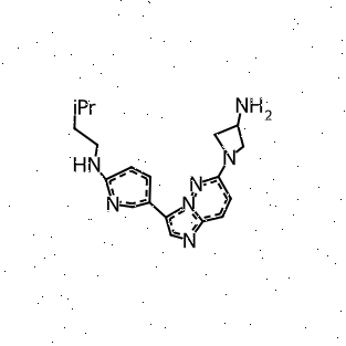 CC(C)CCNc1ccc(-c2cnc3ccc(N4CC(N)C4)nn23)cn1